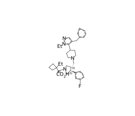 CCn1ncc(Cc2ccccc2)c1C1CCN(C[C@H]2CN([C@@H](C(=O)O)C3(CC)CCC3)C[C@@H]2c2cccc(F)c2)CC1